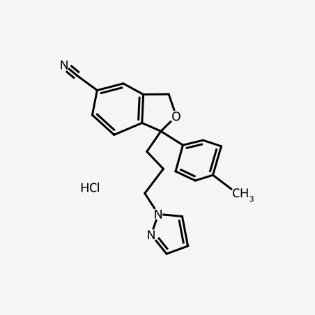 Cc1ccc(C2(CCCn3cccn3)OCc3cc(C#N)ccc32)cc1.Cl